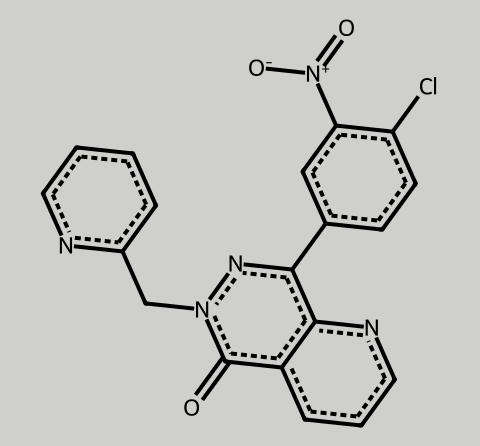 O=c1c2cccnc2c(-c2ccc(Cl)c([N+](=O)[O-])c2)nn1Cc1ccccn1